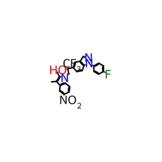 Cc1c(C)n(CC(O)(c2ccc3c(cnn3-c3ccc(F)cc3)c2)C(F)(F)F)c2ccc([N+](=O)[O-])cc12